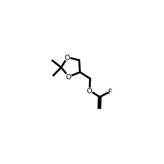 C=C(F)OCC1COC(C)(C)O1